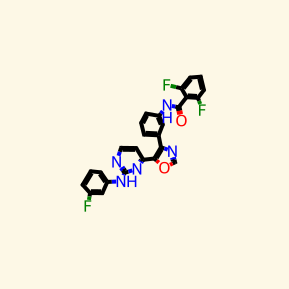 O=C(Nc1cccc(-c2ncoc2-c2ccnc(Nc3cccc(F)c3)n2)c1)c1c(F)cccc1F